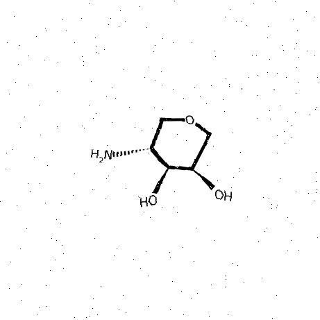 N[C@@H]1COC[C@@H](O)[C@H]1O